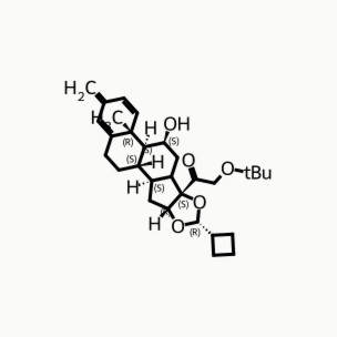 C=C1C=C[C@@]2(C)C(=C1)CC[C@@H]1[C@@H]2[C@@H](O)CC2[C@H]1C[C@H]1O[C@@H](C3CCC3)O[C@@]21C(=O)COC(C)(C)C